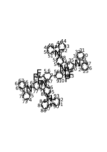 FC(F)(F)c1ccc(-c2ccc(C(F)(F)F)c(-n3c4ccc(-n5c6ccccc6c6ccccc65)cc4c4cc(-n5c6ccccc6c6ccccc65)ccc43)c2)cc1-n1c2ccc(-n3c4ccccc4c4ccccc43)cc2c2cc(-n3c4ccccc4c4ccccc43)ccc21